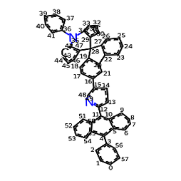 c1ccc(-c2c3ccccc3c(-c3ccc(-c4ccc5c(c4)-c4ccccc4C54c5ccccc5N(c5ccccc5)c5ccccc54)cn3)c3ccccc23)cc1